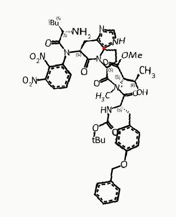 CC[C@H](C)[C@H](N)C(=O)N(c1cccc([N+](=O)[O-])c1[N+](=O)[O-])[C@@H](Cc1c[nH]cn1)C(=O)N1CCC[C@H]1C(=O)[N+](C)(C(=O)[C@H](Cc1ccc(OCc2ccccc2)cc1)NC(=O)OC(C)(C)C)[C@H](C(=O)OC)[C@@H](C)O